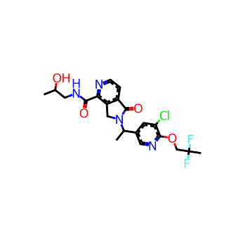 CC(O)CNC(=O)c1nccc2c1CN(C(C)c1cnc(OCC(C)(F)F)c(Cl)c1)C2=O